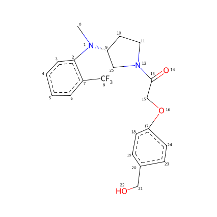 CN(c1ccccc1C(F)(F)F)[C@@H]1CCN(C(=O)COc2ccc(CO)cc2)C1